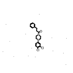 O=C(C[CH]c1ccccc1)N1CCN(c2ccc(Cl)c(Cl)c2)CC1